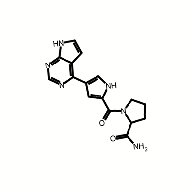 NC(=O)C1CCCN1C(=O)c1cc(-c2ncnc3[nH]ccc23)c[nH]1